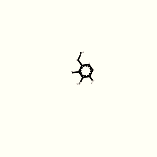 Cc1c(CF)ccc(F)c1F